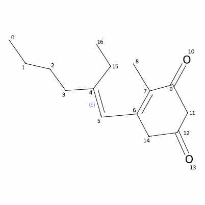 CCCC/C(=C/C1=C(C)C(=O)CC(=O)C1)CC